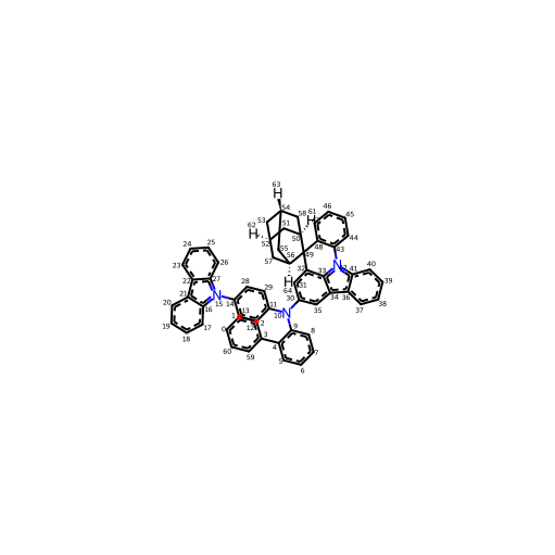 c1ccc(-c2ccccc2N(c2ccc(-n3c4ccccc4c4ccccc43)cc2)c2cc3c4c(c2)c2ccccc2n4-c2ccccc2C32[C@H]3C[C@@H]4C[C@@H](C[C@@H]2C4)C3)cc1